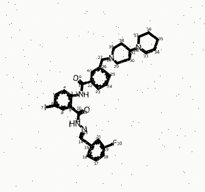 O=C(Nc1ccc(I)cc1C(=O)NN=Cc1cccc(F)c1)c1cccc(CN2CCC(N3CCCCC3)CC2)c1